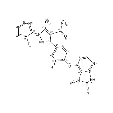 CC(C)n1c(=O)[nH]c2nccc(Oc3ccc(-c4nn(-c5ncccc5F)c(C(F)(F)F)c4C(N)=O)cc3F)c21